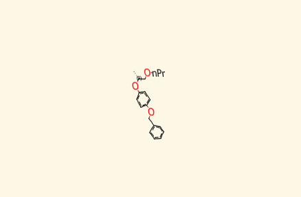 CCCOC[C@@H](C)Oc1ccc(OCc2ccccc2)cc1